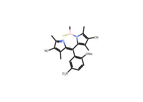 COc1ccc([N+](=O)[O-])cc1/C(=C1/N=C(C)C(C#N)=C1C)c1c(C)c(C#N)c(C)n1B(C)F